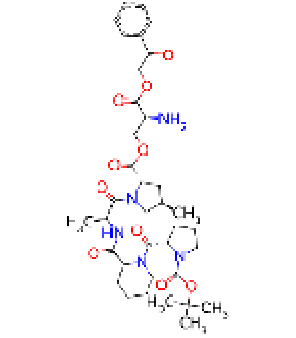 C[C@@H]1C[C@@H](C(=O)OC[C@H](N)C(=O)OCC(=O)c2ccccc2)N(C(=O)[C@H](C)NC(=O)[C@@H]2CCCCN2C(=O)[C@@H]2CCCN2C(=O)OC(C)(C)C)C1